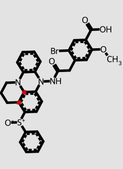 COc1cc(CC(=O)NN(c2ccc([S+]([O-])c3ccccc3)cc2)c2ccccc2N2CCCCC2)c(Br)cc1C(=O)O